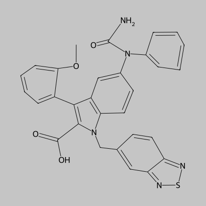 COc1ccccc1-c1c(C(=O)O)n(Cc2ccc3nsnc3c2)c2ccc(N(C(N)=O)c3ccccc3)cc12